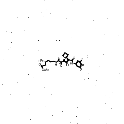 CCC[C@H](CCCNC(=O)C(=O)c1c(Cl)c(C(=O)Nc2cc(F)c(F)c(F)c2)c2n1CCC2)CC(=O)OC